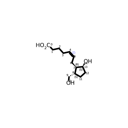 O=C(O)CCC/C=C\C[C@@H]1[C@@H](CO)CC[C@@H]1O